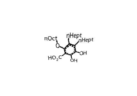 CCCCCCCCOc1c(CCCCCCC)c(CCCCCCC)c(O)c(O)c1C(=O)O